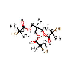 CC(COC(=O)C(C)(C)S)(COC(=O)C(C)(C)S)COC(=O)C(C)(C)S